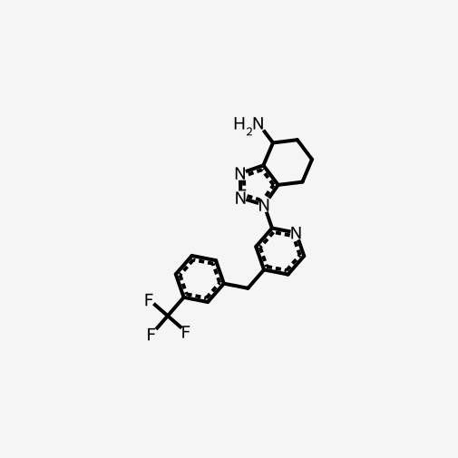 NC1CCCc2c1nnn2-c1cc(Cc2cccc(C(F)(F)F)c2)ccn1